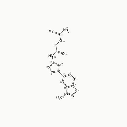 Cn1ncc2ccc(-c3csc(NC(=O)COC(N)=O)n3)cc21